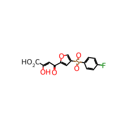 O=C(O)C(O)=CC(=O)c1cc(S(=O)(=O)c2ccc(F)cc2)co1